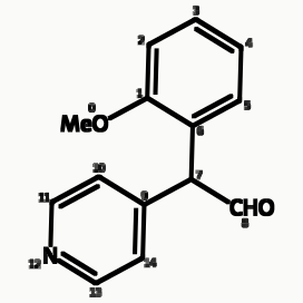 COc1ccccc1C(C=O)c1ccncc1